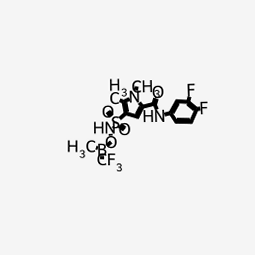 CB(ONS(=O)(=O)c1cc(C(=O)Nc2ccc(F)c(F)c2)n(C)c1C)C(F)(F)F